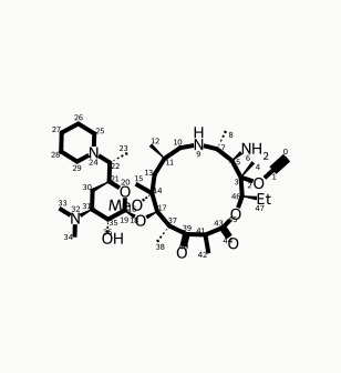 C#CO[C@@]1(C)[C@H](N)[C@@H](C)NC[C@H](C)C[C@@](C)(OC)[C@H](O[C@@H]2O[C@H]([C@@H](C)N3CCCCC3)C[C@H](N(C)C)[C@H]2O)[C@@H](C)C(=O)C(C)C(=O)O[C@@H]1CC